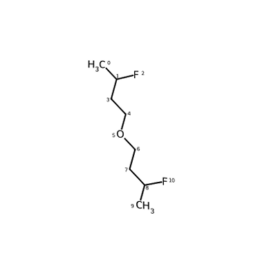 CC(F)CCOCCC(C)F